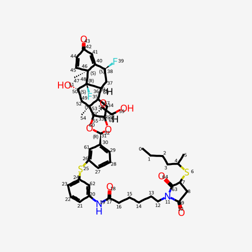 CCCCC(C)SC1CC(=O)N(CCCCCC(=O)Nc2cccc(Sc3cccc([C@@H]4O[C@@H]5CC6[C@@H]7C[C@H](F)C8=CC(=O)C=C[C@]8(C)[C@@]7(F)[C@@H](O)C[C@]6(C)[C@]5(C(=O)CO)O4)c3)c2)C1=O